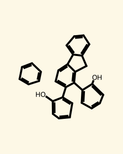 Oc1ccccc1-c1ccc2c(c1-c1ccccc1O)Cc1ccccc1-2.c1ccccc1